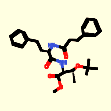 COC(=O)[C@@H](NC(=O)[C@H](CCc1ccccc1)NC(=O)CCc1ccccc1)[C@@H](C)OC(C)(C)C